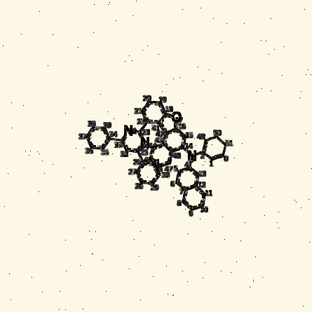 C1=CC(N(c2ccc3ccccc3c2)c2cc3oc4cccc(-c5nc(-c6ccccc6)cc(-c6ccccc6)n5)c4c3c3ccccc23)=CCC1